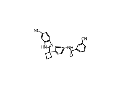 N#Cc1cccc(C(=O)Nc2ccc(C3(c4nc5ccc(C#N)cc5[nH]4)CCC3)cc2)c1